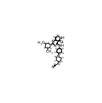 CC1CC(C)CN(c2nc(Nc3ccc(N4CCC(CC#N)CC4)cc3)c3c(=O)[nH]ncc3n2)C1